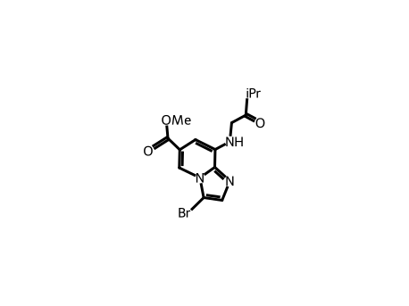 COC(=O)c1cc(NCC(=O)C(C)C)c2ncc(Br)n2c1